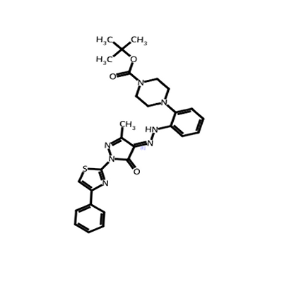 CC1=NN(c2nc(-c3ccccc3)cs2)C(=O)/C1=N/Nc1ccccc1N1CCN(C(=O)OC(C)(C)C)CC1